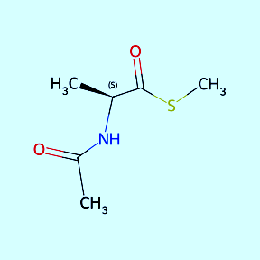 CSC(=O)[C@H](C)NC(C)=O